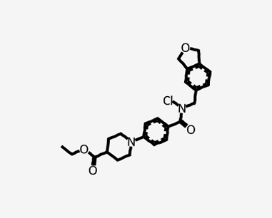 CCOC(=O)C1CCN(c2ccc(C(=O)N(Cl)Cc3ccc4c(c3)COC4)cc2)CC1